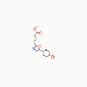 COC(=O)CCCc1ncc(-c2ccc(OC)cc2)o1